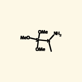 CO[Si](OC)(OC)N(C)N